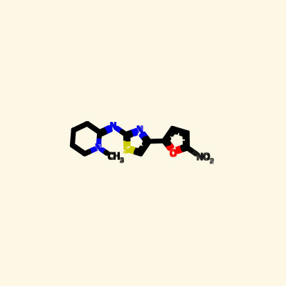 CN1CCCCC1=Nc1nc(-c2ccc([N+](=O)[O-])o2)cs1